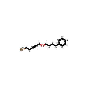 BrCCC#CCOCCCCc1ccccc1